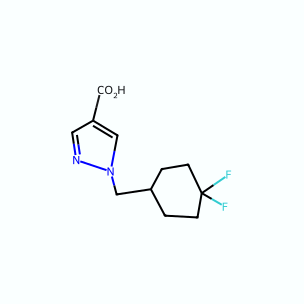 O=C(O)c1cnn(CC2CCC(F)(F)CC2)c1